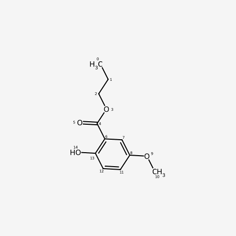 CCCOC(=O)c1cc(OC)ccc1O